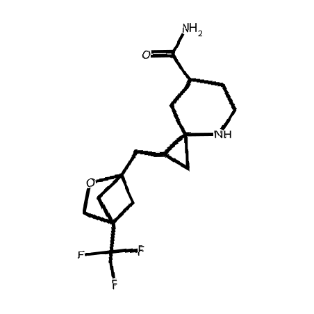 NC(=O)C1CCNC2(C1)CC2CC12CC(C(F)(F)F)(CO1)C2